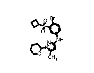 Cc1cc(Nc2ccc(Br)c(S(=O)(=O)C3CCC3)c2)nn1C1CCCCO1